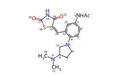 CC(=O)Nc1ccc(N2CCC(N(C)C)C2)c(C=C2SC(=O)NC2=O)c1